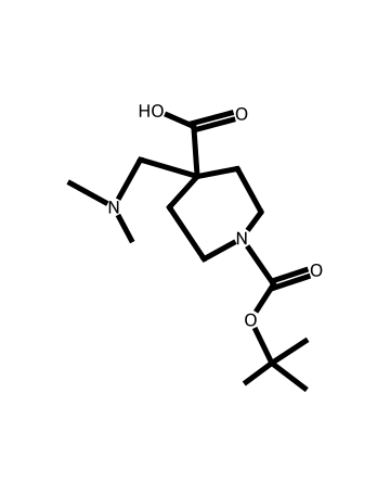 CN(C)CC1(C(=O)O)CCN(C(=O)OC(C)(C)C)CC1